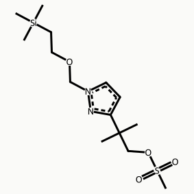 CC(C)(COS(C)(=O)=O)c1ccn(COCC[Si](C)(C)C)n1